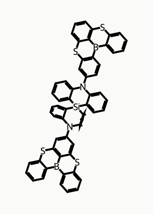 c1ccc2c(c1)Sc1cccc3c1B2c1ccc(N2c4ccccc4[Si]4(c5ccccc52)c2ccccc2N(c2cc5c6c(c2)Sc2ccccc2B6c2ccccc2S5)c2ccccc24)cc1S3